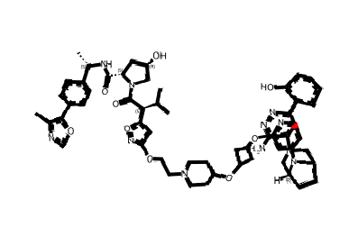 Cc1ncoc1-c1ccc([C@H](C)NC(=O)[C@@H]2C[C@@H](O)CN2C(=O)[C@H](c2cc(OCCN3CCC(OC4CC(Oc5cc(N6C7CC[C@@H]6CN(c6cc(-c8ccccc8O)nnc6N)C7)ccn5)C4)CC3)no2)C(C)C)cc1